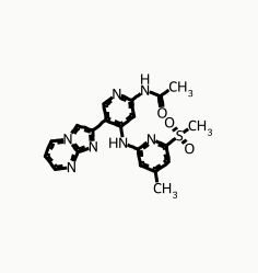 CC(=O)Nc1cc(Nc2cc(C)cc(S(C)(=O)=O)n2)c(-c2cn3cccnc3n2)cn1